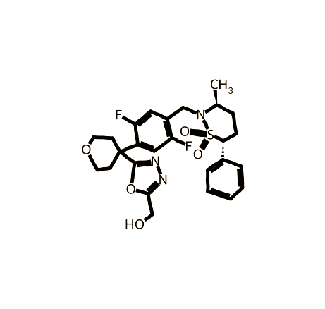 C[C@H]1CC[C@H](c2ccccc2)S(=O)(=O)N1Cc1cc(F)c(C2(c3nnc(CO)o3)CCOCC2)cc1F